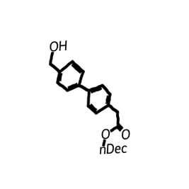 CCCCCCCCCCOC(=O)Cc1ccc(-c2ccc(CO)cc2)cc1